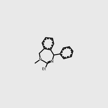 CCC1=NC(c2ccccc2)c2ccccc2CN1C